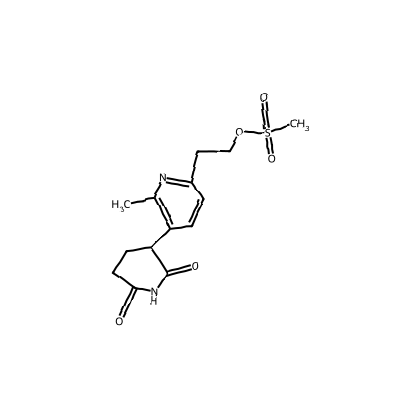 Cc1nc(CCOS(C)(=O)=O)ccc1C1CCC(=O)NC1=O